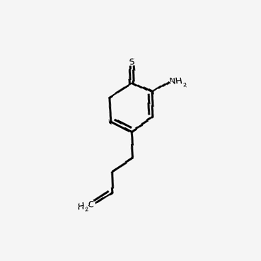 C=CCCC1=CCC(=S)C(N)=C1